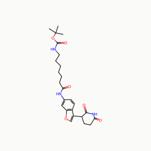 CC(C)(C)OC(=O)NCCCCCCC(=O)Nc1ccc2c(C3CCC(=O)NC3=O)coc2c1